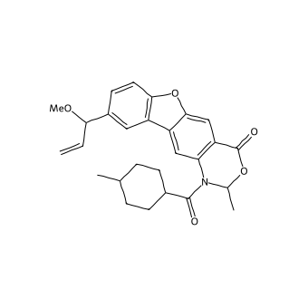 C=CC(OC)c1ccc2oc3cc4c(cc3c2c1)N(C(=O)C1CCC(C)CC1)C(C)OC4=O